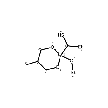 CCO[Si]1(C(S)CC)OCC(C)CO1